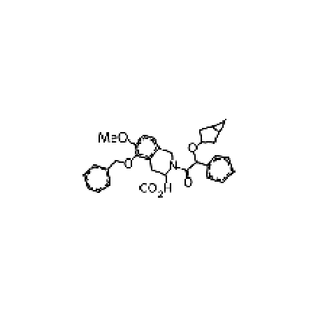 COc1ccc2c(c1OCc1ccccc1)CC(C(=O)O)N(C(=O)C(OC1CC3CC3C1)c1ccccc1)C2